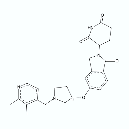 Cc1nccc(CN2CC[C@H](Oc3ccc4c(c3)CN(C3CCC(=O)NC3=O)C4=O)C2)c1C